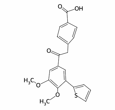 COc1cc(C(=O)Cc2ccc(C(=O)O)cc2)cc(-c2cccs2)c1OC